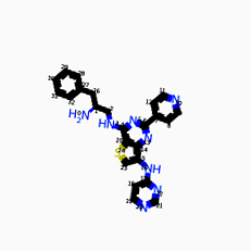 N[C@H](CNc1nc(-c2ccncc2)nc2c(Nc3ccncn3)csc12)Cc1ccccc1